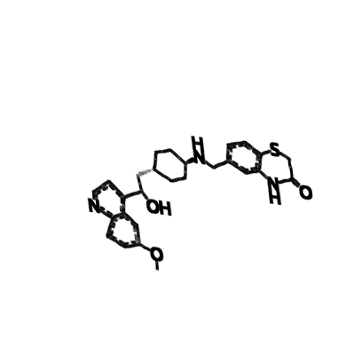 COc1ccc2nccc(C(O)C[C@H]3CC[C@H](NCc4ccc5c(c4)NC(=O)CS5)CC3)c2c1